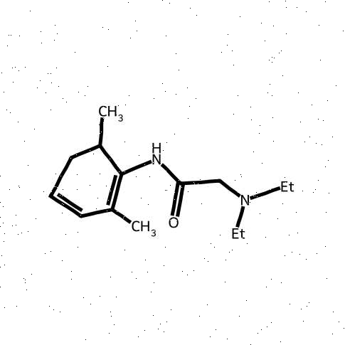 CCN(CC)CC(=O)NC1=C(C)C=CCC1C